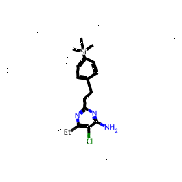 CCc1nc(CCc2ccc([Si](C)(C)C)cc2)nc(N)c1Cl